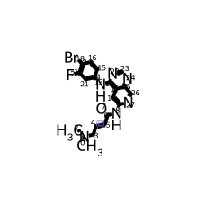 CN(C)C/C=C/C(=O)Nc1cc2c(Nc3ccc(Br)c(F)c3)ncnc2cn1